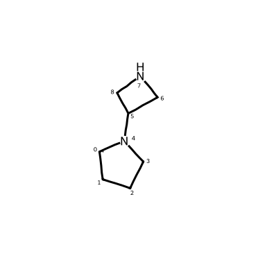 [CH]1CCCN1C1CNC1